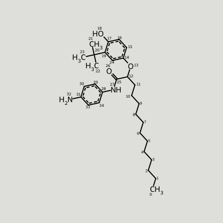 CCCCCCCCCCCCC(Oc1ccc(O)c(C(C)(C)C)c1)C(=O)Nc1ccc(N)cc1